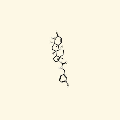 COc1cccc(CNC(=O)[C@H]2CC[C@H]3[C@@H]4CC[C@H]5N(C)C(=O)C=C[C@]5(C)[C@H]4CC[C@]23C)c1